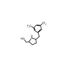 OCC1CCC(Cc2cc(C(F)(F)F)cc(C(F)(F)F)c2)N1